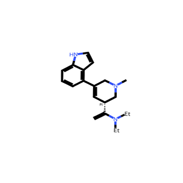 C=C([C@@H]1C=C(c2cccc3[nH]ccc23)CN(C)C1)N(CC)CC